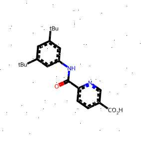 CC(C)(C)c1cc(NC(=O)c2ccc(C(=O)O)cn2)cc(C(C)(C)C)c1